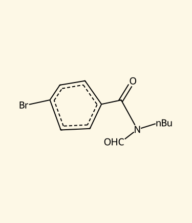 CCCCN(C=O)C(=O)c1ccc(Br)cc1